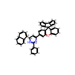 C1=C(c2ccc3c(c2)Oc2ccccc2C32c3ccccc3-c3ccccc32)N=C(c2ccccc2)N[C@H]1c1cccc2ccccc12